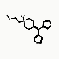 COCC[N+]1([O-])CCC(=C(c2ccsc2)c2ccsc2)CC1